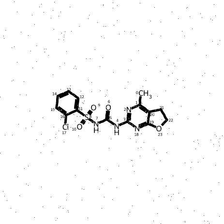 Cc1nc(NC(=O)NS(=O)(=O)c2ccccc2Cl)nc2c1CCO2